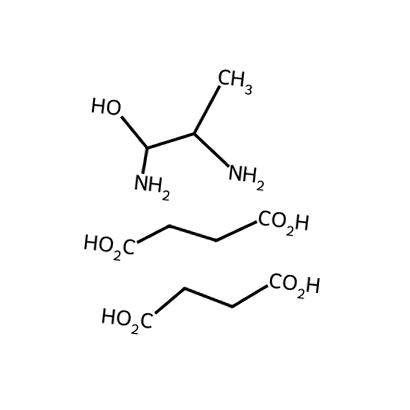 CC(N)C(N)O.O=C(O)CCC(=O)O.O=C(O)CCC(=O)O